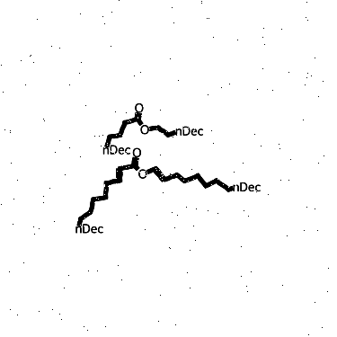 CCCCCCCCCCCCCC(=O)OCCCCCCCCCCCC.CCCCCCCCCCCCCCCC=CC(=O)OC=CCCCCCCCCCCCCCCCC